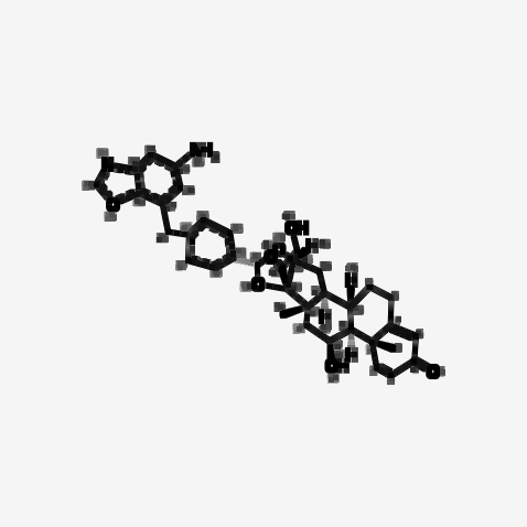 C[C@]12C=CC(=O)C=C1CC[C@@H]1[C@@H]2[C@@H](O)C[C@@]2(C)[C@H]1C[C@H]1O[C@@H](c3ccc(Cc4cc(N)cc5ncoc45)cc3)O[C@]12C(=O)CO